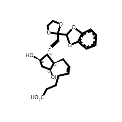 O=C(O)CCC/C=C\C[C@@H]1[C@@H](/C=C/C2(C3Oc4ccccc4O3)OCCO2)[C@H](O)C[C@@H]1O